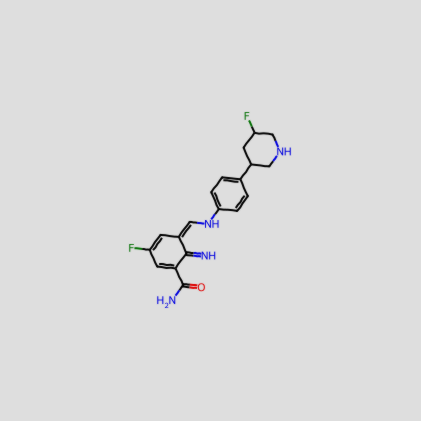 N=C1C(C(N)=O)=CC(F)=C/C1=C/Nc1ccc(C2CNCC(F)C2)cc1